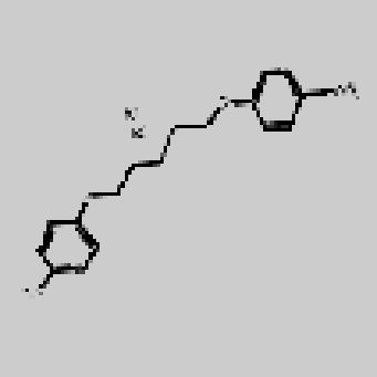 Cl.Cl.Nc1ccc(OCCCCCOc2ccc(N)cc2)cc1